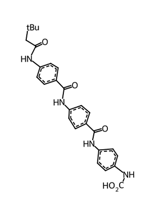 CC(C)(C)CC(=O)Nc1ccc(C(=O)Nc2ccc(C(=O)Nc3ccc(NC(=O)O)cc3)cc2)cc1